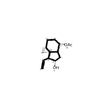 C=CC1[C@@H](O)CC2[C@@H](OC(C)=O)CCC[C@@]21C